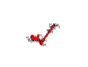 CCCO[C@H](C[C@H](C(C)C)N(CCC)C(=O)[C@@H](NC(=O)[C@H]1CCCCN1C)[C@@H](C)CC)c1nc(C(=O)N[C@H]2Cc3ccc(O)cc3[C@H](C(=O)NNC(=O)OCCOCCOCCOCCNC(=O)CNC(=O)CNC(=O)CNC(=O)OC(C)(C)C)C2)cs1